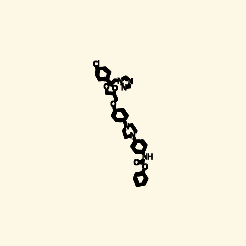 O=C(Nc1ccc(N2CCN(c3ccc(OCC4COC(Cn5cncn5)(c5ccc(Cl)cc5)O4)cc3)CC2)cc1)Oc1ccccc1